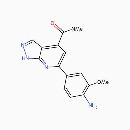 CNC(=O)c1cc(-c2ccc(N)c(OC)c2)nc2[nH]ncc12